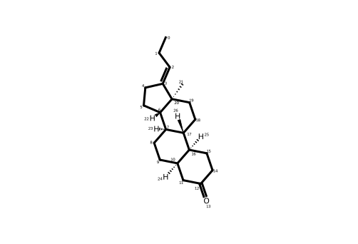 CCC=C1CC[C@H]2[C@@H]3CC[C@@H]4CC(=O)CC[C@@H]4[C@H]3CC[C@]12C